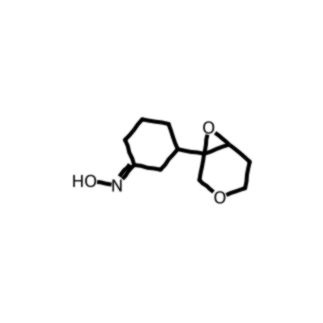 ON=C1CCCC(C23COCCC2O3)C1